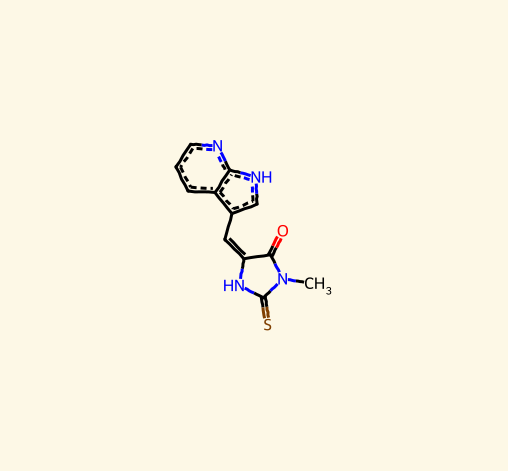 CN1C(=O)C(=Cc2c[nH]c3ncccc23)NC1=S